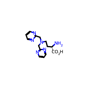 N[C@@H](CCN(Cc1ncccn1)Cc1ncccn1)C(=O)O